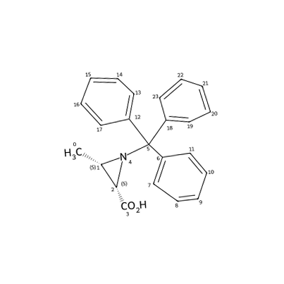 C[C@H]1[C@@H](C(=O)O)N1C(c1ccccc1)(c1ccccc1)c1ccccc1